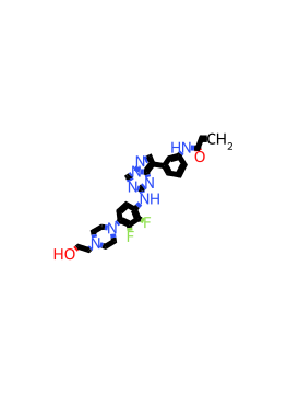 C=CC(=O)Nc1cccc(-c2cnn3cnc(Nc4ccc(N5CCN(CCO)CC5)c(F)c4F)nc23)c1